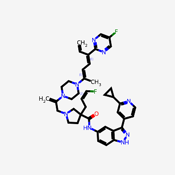 C=C/C(=C\C=C(/C)N1CCN(C(=C)CN2CCC(C/C=C\F)(C(=O)Nc3ccc4[nH]nc(-c5ccnc(C6CC6)c5)c4c3)C2)CC1)c1ncc(F)cn1